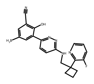 Bc1cc(C#N)c(O)c(-c2ccc(NCC3(c4ncccc4F)CCC3)nn2)c1